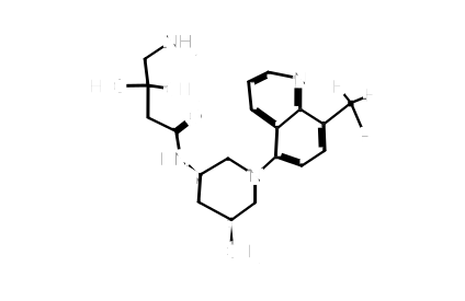 C[C@H]1C[C@@H](NC(=O)CC(C)(C)CN)CN(c2ccc(C(F)(F)F)c3ncccc23)C1